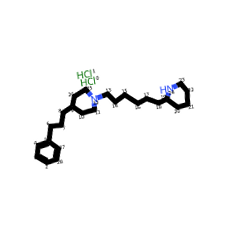 Cl.Cl.c1ccc(CCCC2CCN(CCCCCCC3CCCCN3)CC2)cc1